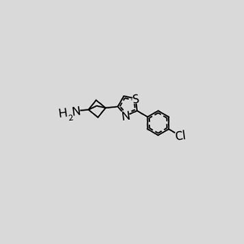 NC12CC(c3csc(-c4ccc(Cl)cc4)n3)(C1)C2